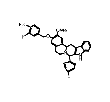 COc1cc2c(cc1OCc1ccc(C(F)(F)F)c(F)c1)CCN1C2Cc2c([nH]c3ccccc23)C1c1ccc(F)cc1